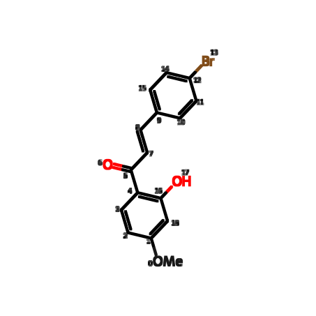 COc1ccc(C(=O)C=Cc2ccc(Br)cc2)c(O)c1